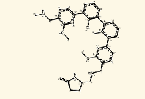 C=C1CC[C@@H](CNCc2ncc(-c3cccc(-c4cccc(-c5cnc(CNC)c(OC)n5)c4Cl)c3C)nc2OC)N1